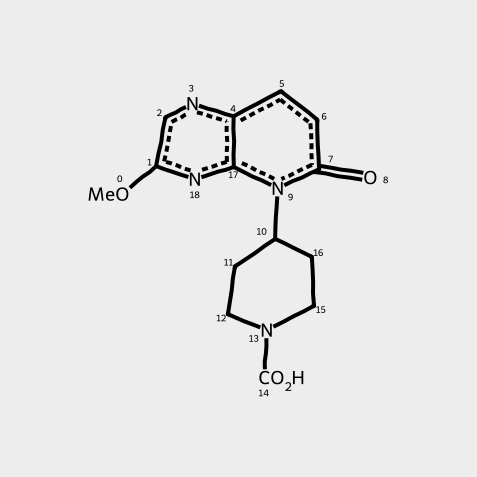 COc1cnc2ccc(=O)n(C3CCN(C(=O)O)CC3)c2n1